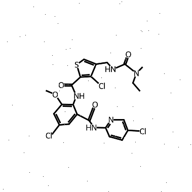 CCN(C)C(=O)NCc1csc(C(=O)Nc2c(OC)cc(Cl)cc2C(=O)Nc2ccc(Cl)cn2)c1Cl